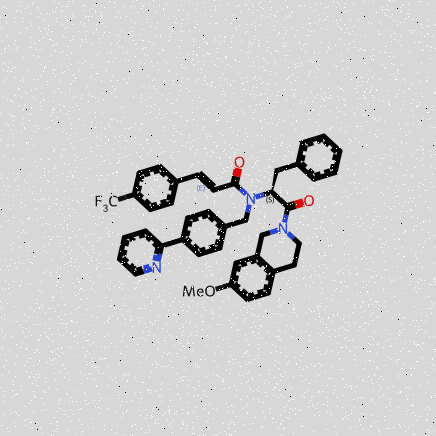 COc1ccc2c(c1)CN(C(=O)[C@H](Cc1ccccc1)N(Cc1ccc(-c3ccccn3)cc1)C(=O)/C=C/c1ccc(C(F)(F)F)cc1)CC2